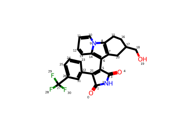 O=C1NC(=O)C(c2c3c(n4ccccc24)CCC(CO)C3)=C1c1cccc(C(F)(F)F)c1